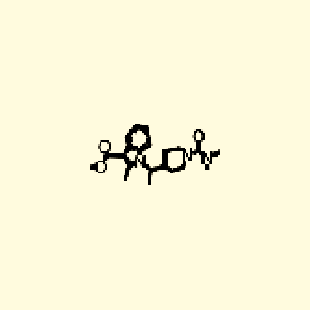 COC(=O)c1c(C)n(C(C)C2CCN(C(=O)N(C)C)CC2)c2ccccc12